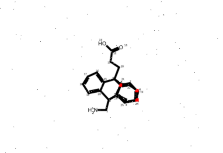 NCC12c3ccccc3C(CCC(=O)O)(c3ccccc31)c1ccccc12